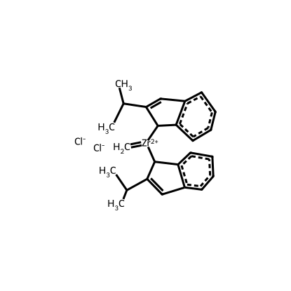 [CH2]=[Zr+2]([CH]1C(C(C)C)=Cc2ccccc21)[CH]1C(C(C)C)=Cc2ccccc21.[Cl-].[Cl-]